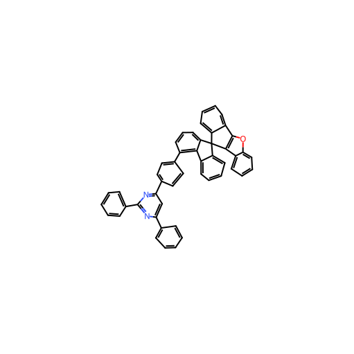 c1ccc(-c2cc(-c3ccc(-c4cccc5c4-c4ccccc4C54c5ccccc5-c5oc6ccccc6c54)cc3)nc(-c3ccccc3)n2)cc1